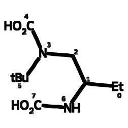 CCC(CN(C(=O)O)C(C)(C)C)NC(=O)O